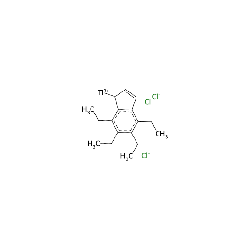 CCc1c2c(c(CC)c(CC)c1CC)[CH]([Ti+3])C=C2.[Cl-].[Cl-].[Cl-]